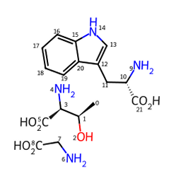 C[C@@H](O)[C@H](N)C(=O)O.NCC(=O)O.N[C@@H](Cc1c[nH]c2ccccc12)C(=O)O